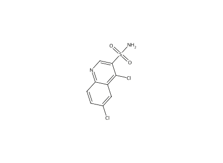 NS(=O)(=O)c1cnc2ccc(Cl)cc2c1Cl